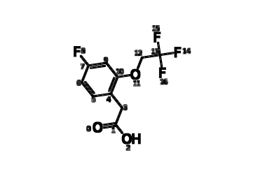 O=C(O)Cc1ccc(F)cc1OCC(F)(F)F